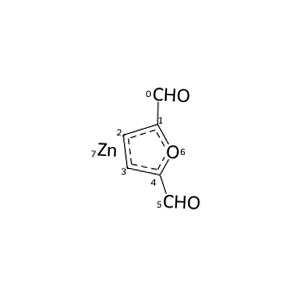 O=Cc1ccc(C=O)o1.[Zn]